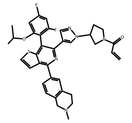 C=CC(=O)N1CCC(n2cc(-c3nc(-c4ccc5c(c4)CCN(C)C5)c4ccsc4c3-c3c(F)cc(F)cc3OC(C)C)cn2)C1